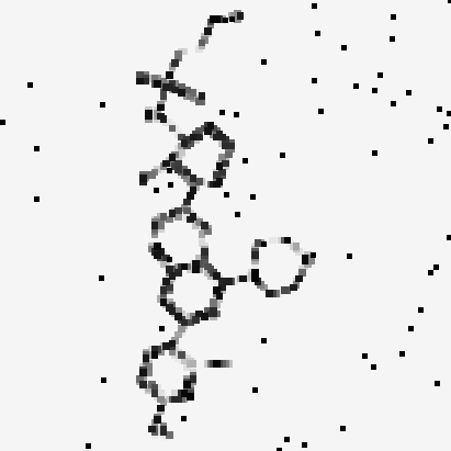 Cc1cc(N)ncc1-c1nc(N2CCOCC2)c2nc(-c3cccc(NS(=O)(=O)CCCF)c3F)ccc2n1